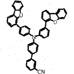 N#Cc1cccc(-c2ccc(N(c3ccc(-c4cccc5c4oc4ccccc45)cc3)c3cccc(-c4cccc5c4oc4ccccc45)c3)cc2)c1